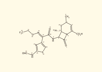 CC1C=C(C(=O)O)N2C(=O)C(NC(=O)/C(=N/OCC(F)(F)F)c3csc(NC=O)n3)[C@H]2S1